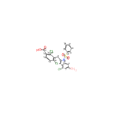 Bc1cc(Cl)c2cc(Cc3c(Cl)ccc(C(=O)O)c3Cl)n(S(=O)(=O)c3ccccc3)c2c1